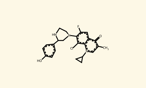 Cc1cn(C2CC2)c2c(Cl)c(N3CCNC(c4ccc(O)cc4)C3)c(F)cc2c1=O